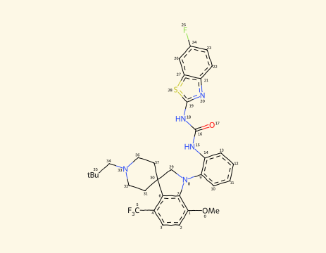 COc1ccc(C(F)(F)F)c2c1N(c1ccccc1NC(=O)Nc1nc3ccc(F)cc3s1)CC21CCN(CC(C)(C)C)CC1